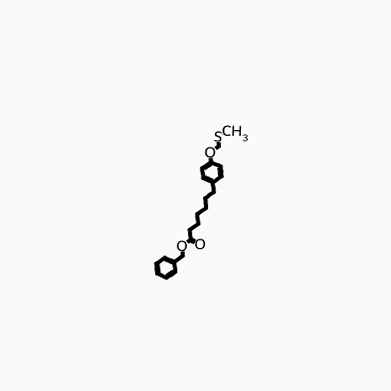 CSCOc1ccc(CCCCCCC(=O)OCc2ccccc2)cc1